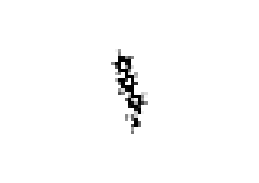 C=CNCc1ccc(-c2ccc(-c3ccc(C)cc3)c(F)c2F)cc1